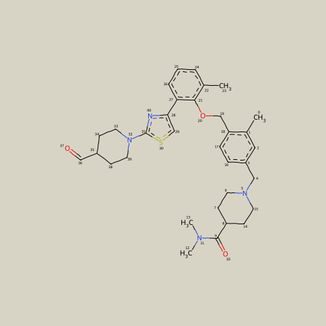 Cc1cc(CN2CCC(C(=O)N(C)C)CC2)ccc1COc1c(C)cccc1-c1csc(N2CCC(C=O)CC2)n1